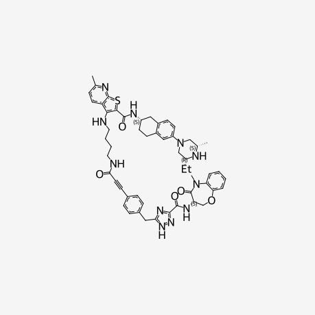 CC[C@@H]1CN(c2ccc3c(c2)CC[C@H](NC(=O)c2sc4nc(C)ccc4c2NCCCCNC(=O)C#Cc2ccc(Cc4nc(C(=O)N[C@H]5COc6ccccc6N(C)C5=O)n[nH]4)cc2)C3)C[C@H](C)N1